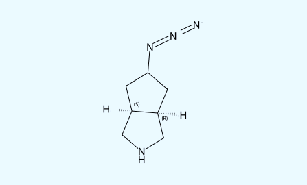 [N-]=[N+]=NC1C[C@H]2CNC[C@H]2C1